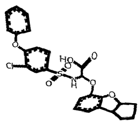 O=C(O)C(NS(=O)(=O)c1ccc(Oc2ccccc2)c(Cl)c1)Oc1cccc2c1OC1CCCC21